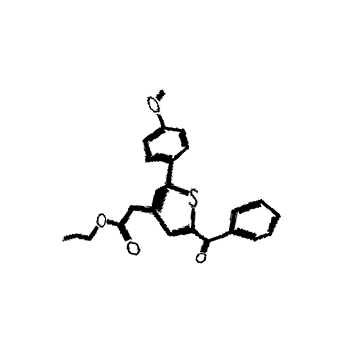 CCOC(=O)Cc1cc(C(=O)c2ccccc2)sc1-c1ccc(OC)cc1